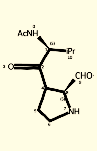 CC(=O)N[C@H](C(=O)C1CCN[C@@H]1[C]=O)C(C)C